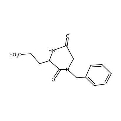 O=C(O)CCC1NC(=O)CN(Cc2ccccc2)C1=O